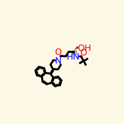 CC(C)(C)C(=O)N[C@@H](CO)CCC(=O)N1CCC(=C2c3ccccc3C=Cc3ccccc32)CC1